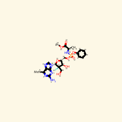 CNc1nc(N)nc2c1ncn2[C@@H]1O[C@H](CO[P@](=O)(N[C@H](C)C(=O)OC(C)C)Oc2ccccc2)[C@@H](O)[C@]1(F)CO